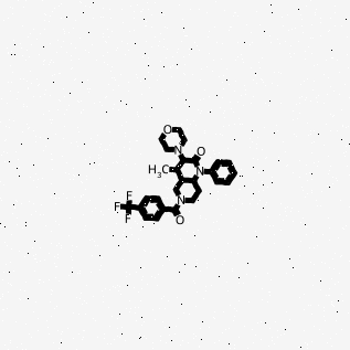 CC1C2CN(C(=O)c3ccc(C(F)(F)F)cc3)CCC2N(c2ccccc2)C(=O)C1N1CCOCC1